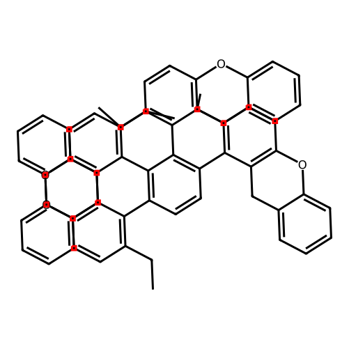 CCc1ccc2c(c1-c1ccc(-c3c(CC)ccc4c3Cc3ccccc3O4)c(-c3c(CC)ccc4c3Cc3ccccc3O4)c1-c1c(CC)ccc3c1Cc1ccccc1O3)Cc1ccccc1O2